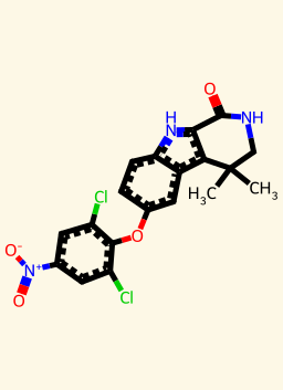 CC1(C)CNC(=O)c2[nH]c3ccc(Oc4c(Cl)cc([N+](=O)[O-])cc4Cl)cc3c21